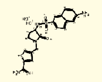 Cl.Cl.N=C(N)c1cc(CN2CCC(NS(=O)(=O)c3ccc4cc(N)ccc4c3)C2=O)cs1